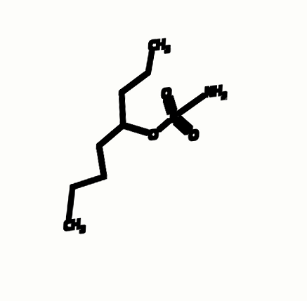 CCCCC(CCC)OS(N)(=O)=O